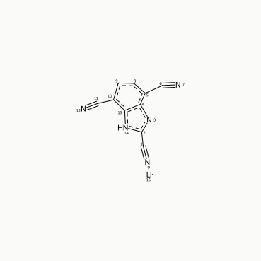 N#Cc1nc2c(C#N)ccc(C#N)c2[nH]1.[Li]